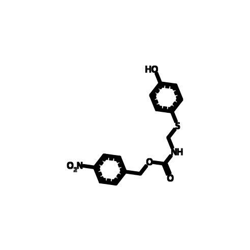 O=C(NCSc1ccc(O)cc1)OCc1ccc([N+](=O)[O-])cc1